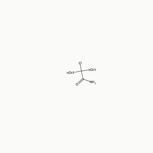 CCCCCCCCC(Cl)(CCCCCCCC)C(N)=O